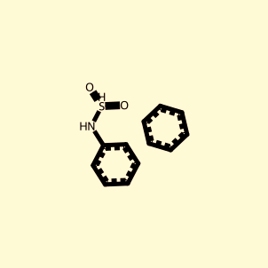 O=[SH](=O)Nc1ccccc1.c1ccccc1